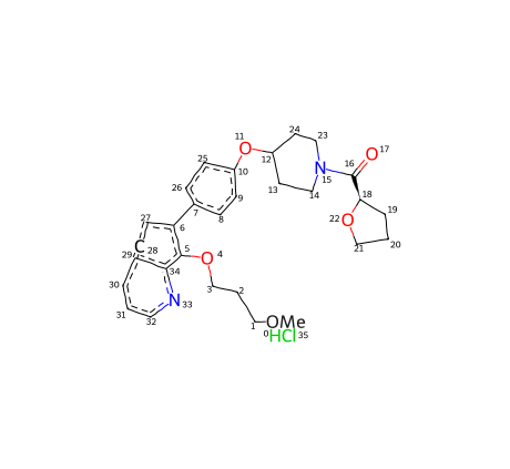 COCCCOc1c(-c2ccc(OC3CCN(C(=O)[C@H]4CCCO4)CC3)cc2)ccc2cccnc12.Cl